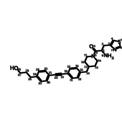 NC(Cc1cscn1)C(=O)N1CCC(Cc2ccc(C#Cc3ccc(CCCO)cc3)cc2)CC1